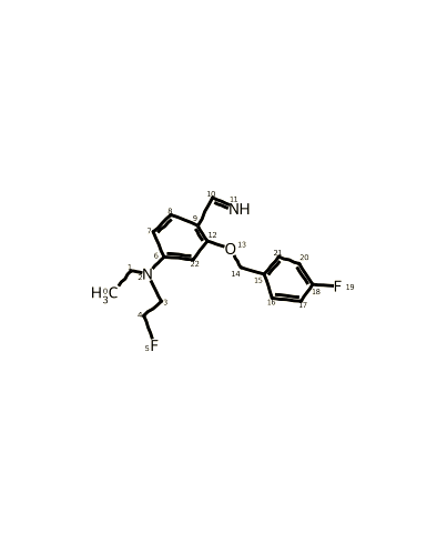 CCN(CCF)c1ccc(C=N)c(OCc2ccc(F)cc2)c1